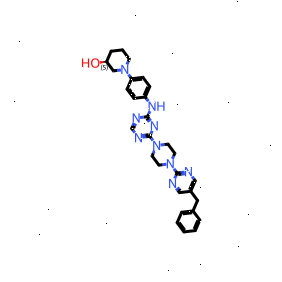 O[C@H]1CCCN(c2ccc(Nc3ncnc(N4CCN(c5ncc(Cc6ccccc6)cn5)CC4)n3)cc2)C1